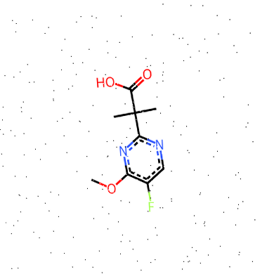 COc1nc(C(C)(C)C(=O)O)ncc1F